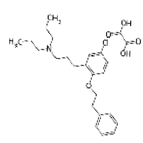 CCCN(CCC)CCCc1cc(Cl)ccc1OCCc1ccccc1.O=C(O)C(=O)O